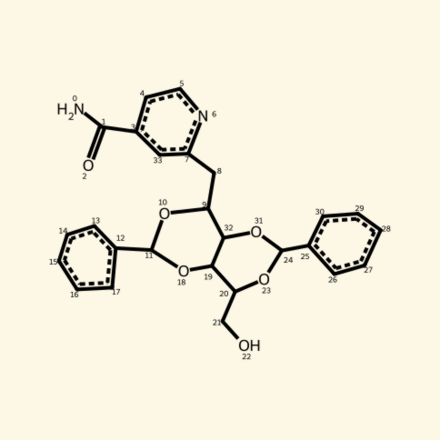 NC(=O)c1ccnc(CC2OC(c3ccccc3)OC3C(CO)OC(c4ccccc4)OC23)c1